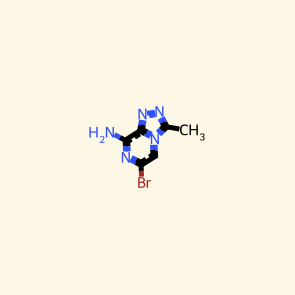 Cc1nnc2c(N)nc(Br)cn12